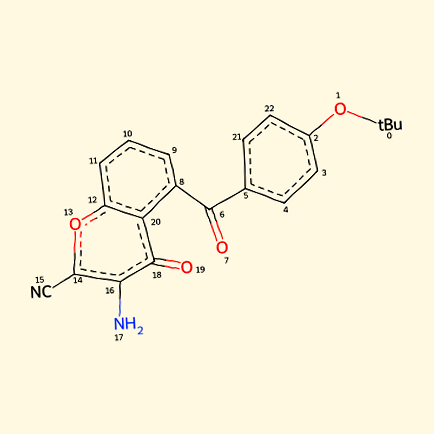 CC(C)(C)Oc1ccc(C(=O)c2cccc3oc(C#N)c(N)c(=O)c23)cc1